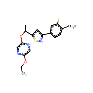 CC(Oc1cnc(OCC(F)(F)F)cn1)c1cc(-c2ccc(C(=O)O)c(F)c2)ns1